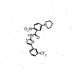 O=C(Nc1nc(-c2cccc(C(F)(F)F)c2)cs1)c1cc(N2CCCCC2)ccc1[N+](=O)[O-]